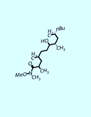 CCCC[C@@H](C)C[C@H](C)C(O)CCC(C)CC(C)C(=O)N(C)OC